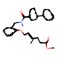 COC(=O)CC/C(C)=C/COc1ccccc1CN(C)C(=O)c1ccc(-c2ccccc2)cc1